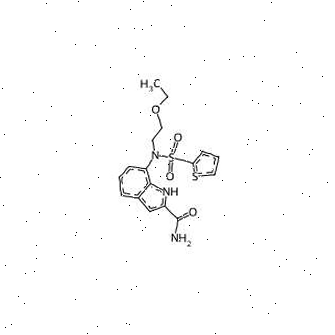 CCOCCN(c1cccc2cc(C(N)=O)[nH]c12)S(=O)(=O)c1cccs1